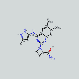 COc1cc2nc(N3C[CH]C3C(N)=O)nc(Nc3cc(C)n[nH]3)c2cc1OC